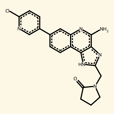 Nc1nc2cc(-c3ccc(Cl)nc3)ccc2c2[nH]c(CN3CCCC3=O)nc12